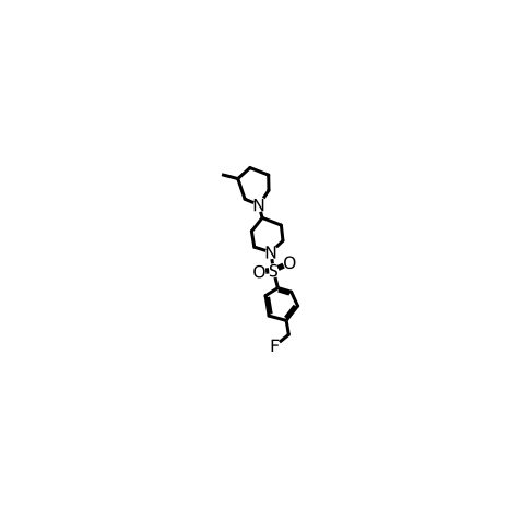 CC1CCCN(C2CCN(S(=O)(=O)c3ccc(CF)cc3)CC2)C1